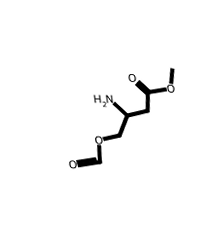 COC(=O)CC(N)COC=O